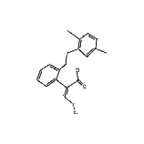 CCO/N=C(\C(=O)Cl)c1ccccc1COc1cc(C)ccc1C